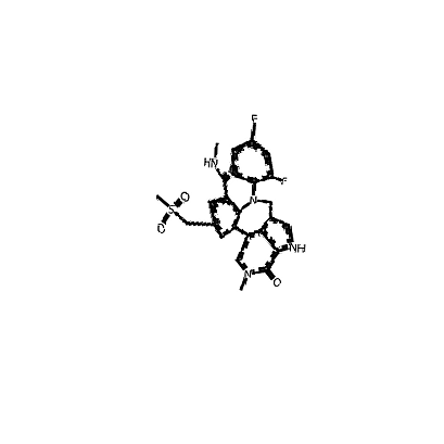 CNC(=O)c1cc(CS(C)(=O)=O)cc2c1N(c1ccc(F)cc1F)Cc1c[nH]c3c(=O)n(C)cc-2c13